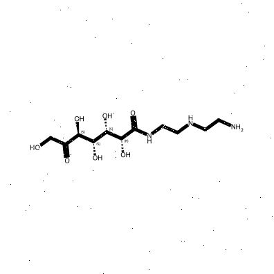 NCCNCCNC(=O)[C@H](O)[C@@H](O)[C@H](O)[C@H](O)C(=O)CO